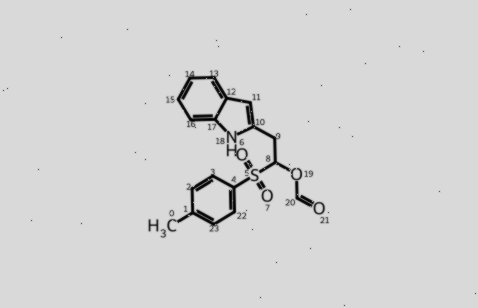 Cc1ccc(S(=O)(=O)C(Cc2cc3ccccc3[nH]2)OC=O)cc1